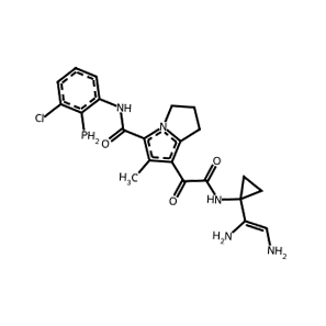 Cc1c(C(=O)C(=O)NC2(/C(N)=C/N)CC2)c2n(c1C(=O)Nc1cccc(Cl)c1P)CCC2